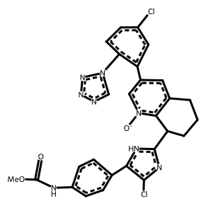 COC(=O)Nc1ccc(-c2[nH]c(C3CCCc4cc(-c5cc(Cl)ccc5-n5cnnn5)c[n+]([O-])c43)nc2Cl)cc1